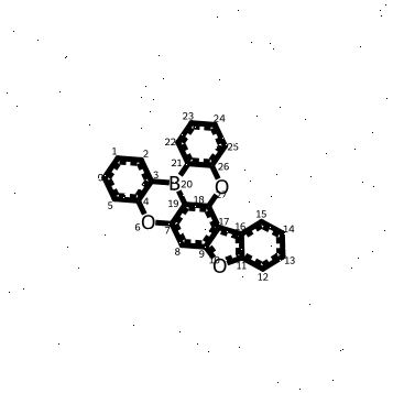 c1ccc2c(c1)Oc1cc3oc4ccccc4c3c3c1B2c1ccccc1O3